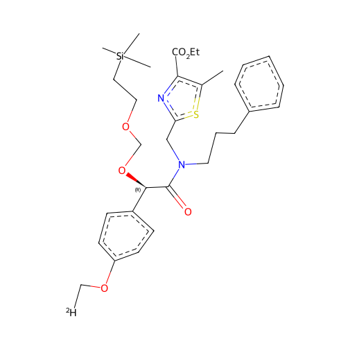 [2H]COc1ccc([C@@H](OCOCC[Si](C)(C)C)C(=O)N(CCCc2ccccc2)Cc2nc(C(=O)OCC)c(C)s2)cc1